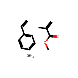 C=C(C)C(=O)OC.C=Cc1ccccc1.[SiH4]